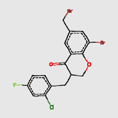 O=C1c2cc(CBr)cc(Br)c2OCC1Cc1ccc(F)cc1Cl